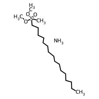 CCCCCCCCCCCCCCCCS(C)(=O)(OC)OC.N